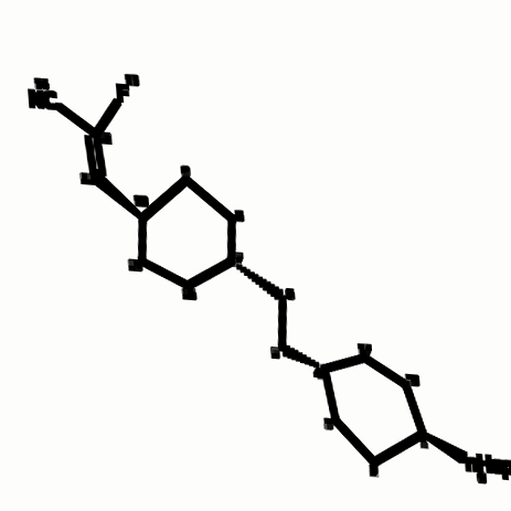 CCCCCCC[C@H]1CC[C@H](CC[C@H]2CC[C@H](C=C(F)C#N)CC2)CC1